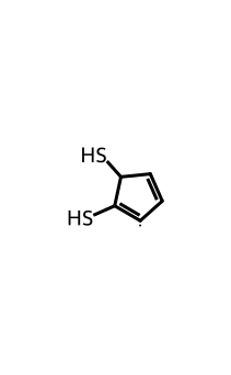 SC1=[C]C=CC1S